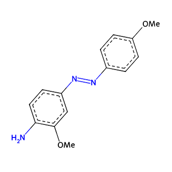 COc1ccc(N=Nc2ccc(N)c(OC)c2)cc1